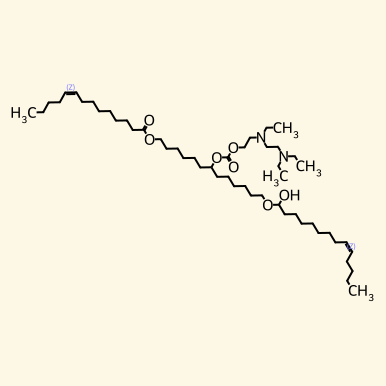 CCCC/C=C\CCCCCCCC(=O)OCCCCCCC(CCCCCCOC(O)CCCCCCC/C=C\CCCC)OC(=O)OCCN(CC)CCN(CC)CC